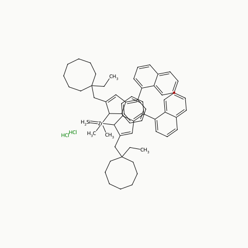 CCC1(CC2=Cc3c(-c4cccc5ccccc45)cccc3[CH]2[Zr]([CH3])([CH3])(=[SiH2])[CH]2C(CC3(CC)CCCCCCC3)=Cc3c(-c4cccc5ccccc45)cccc32)CCCCCCC1.Cl.Cl